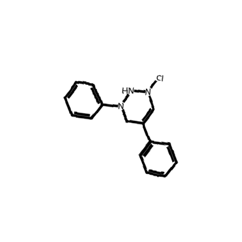 ClN1C=C(c2ccccc2)CN(c2ccccc2)N1